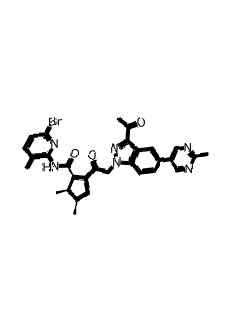 CC(=O)c1nn(CC(=O)C2C[C@@H](C)[C@@H](C)[C@H]2C(=O)Nc2nc(Br)ccc2C)c2ccc(-c3cnc(C)nc3)cc12